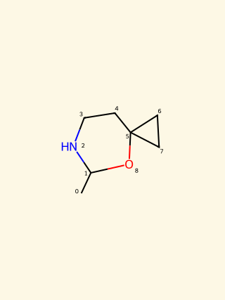 CC1NCCC2(CC2)O1